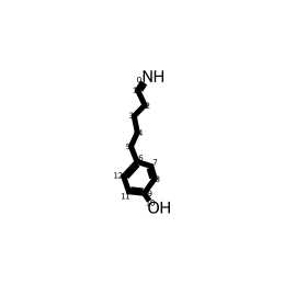 N=CCCCCc1ccc(O)cc1